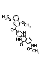 COc1cc(C(=O)N2CCC3(CC2)NC(=O)c2cc(NC(C)=O)ccc2N3)nc2c(SC)cccc12